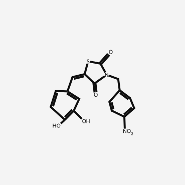 O=C1SC(=Cc2ccc(O)c(O)c2)C(=O)N1Cc1ccc([N+](=O)[O-])cc1